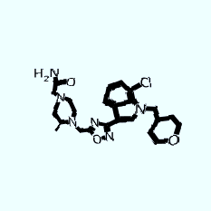 C[C@H]1CN(CC(N)=O)CCN1Cc1nc(-c2cn(CC3CCOCC3)c3c(Cl)cccc23)no1